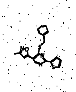 Cc1cc(-c2cnc(-c3cccs3)nc2SCc2ccccc2)on1